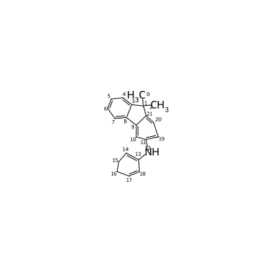 CC1(C)c2ccccc2-c2cc(NC3=CCCC=C3)ccc21